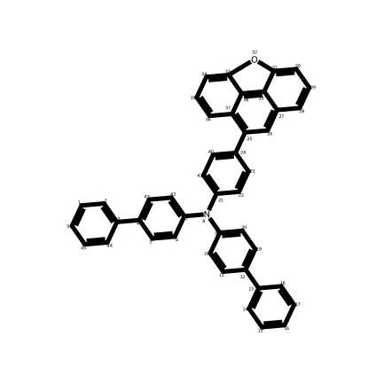 c1ccc(-c2ccc(N(c3ccc(-c4ccccc4)cc3)c3ccc(-c4cc5cccc6oc7cccc4c7c56)cc3)cc2)cc1